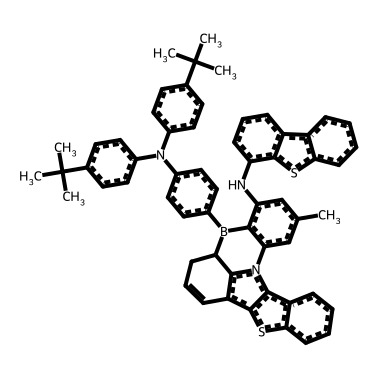 Cc1cc(Nc2cccc3c2sc2ccccc23)c2c(c1)-n1c3c(c4sc5ccccc5c41)C=CCC3B2c1ccc(N(c2ccc(C(C)(C)C)cc2)c2ccc(C(C)(C)C)cc2)cc1